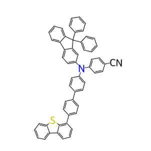 N#Cc1ccc(N(c2ccc(-c3ccc(-c4cccc5c4sc4ccccc45)cc3)cc2)c2ccc3c(c2)C(c2ccccc2)(c2ccccc2)c2ccccc2-3)cc1